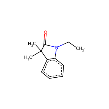 [CH2]CN1C(=O)C(C)(C)c2ccccc21